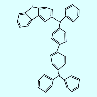 c1ccc(N(c2ccccc2)c2ccc(-c3ccc(N(c4ccccc4)c4ccc5sc6ccccc6c5c4)cc3)cc2)cc1